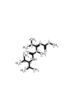 COC(=O)N=C(N(C)C)N(C)C(=O)NC(C(C)C)C(C)C